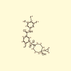 O=C(Nc1cc(F)c(F)c(F)c1)c1ccc(F)c(S(=O)(=O)N2CCCC(O)(C3CC3)CCC2)c1